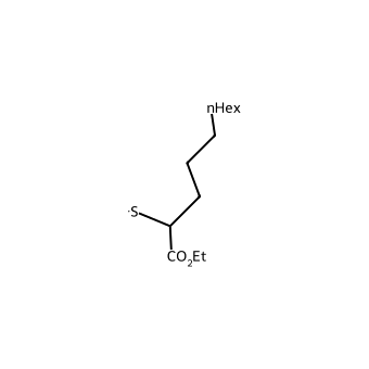 CCCCCCCCCC([S])C(=O)OCC